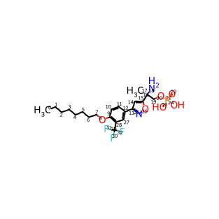 CCCCCCCCOc1ccc(-c2cc([C@@](C)(N)COP(=O)(O)O)on2)cc1C(F)(F)F